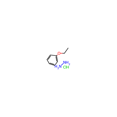 CCOc1ccccc1.Cl.NN